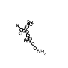 CC(C)(C)OC(=O)N1CCN([C@H]2c3cc(C#N)cc(Cl)c3C[C@@H]2Oc2ccc(S(=O)(=O)NCCOCCOCCN)cc2)CC1